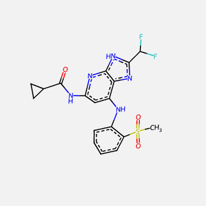 CS(=O)(=O)c1ccccc1Nc1cc(NC(=O)C2CC2)nc2[nH]c(C(F)F)nc12